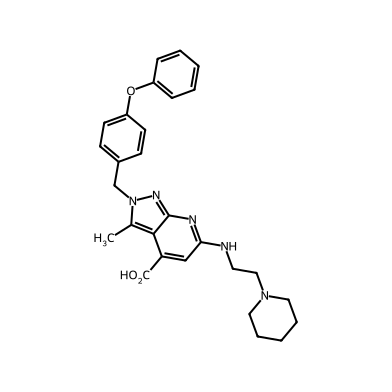 Cc1c2c(C(=O)O)cc(NCCN3CCCCC3)nc2nn1Cc1ccc(Oc2ccccc2)cc1